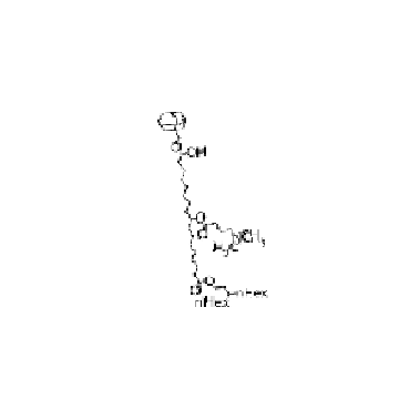 CCCCCCC(CCCCCC)CCOC(=O)CCCCCCCC(CCCCCCCC(O)OCC12CC3CC(CC(C3)C1)C2)OC(=O)CCCN(C)C